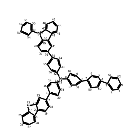 c1ccc(-c2ccc(-c3ccc(N(c4ccc(-c5ccc6c(c5)sc5ccccc56)cc4)c4ccc(-c5ccc6c(c5)c5ccccc5n6-c5ccccc5)cc4)cc3)cc2)cc1